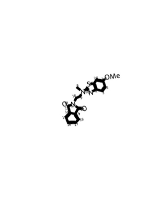 COc1ccc2nc(N(C)CCN3C(=O)c4ccccc4C3=O)sc2c1